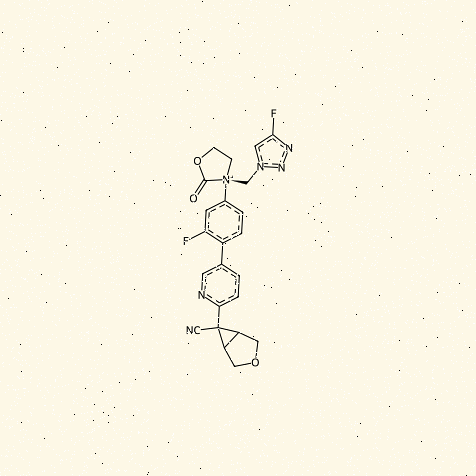 N#CC1(c2ccc(-c3ccc([N@@+]4(Cn5cc(F)nn5)CCOC4=O)cc3F)cn2)C2COCC21